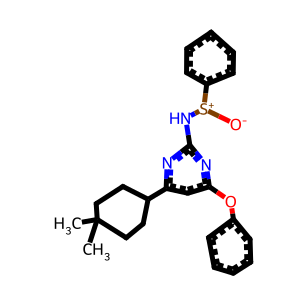 CC1(C)CCC(c2cc(Oc3ccccc3)nc(N[S+]([O-])c3ccccc3)n2)CC1